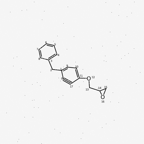 c1c(Cc2ccccc2)ccc(OCC2CO2)c#1